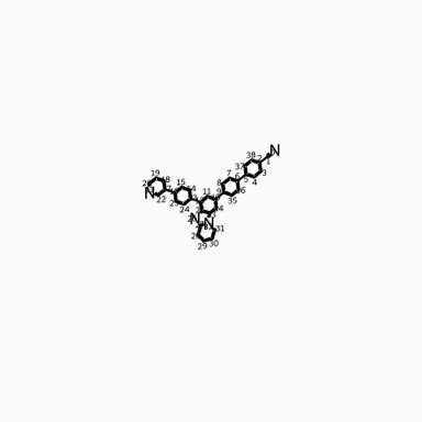 N#Cc1ccc(-c2ccc(-c3cc(-c4ccc(-c5cccnc5)cc4)c4nc5ccccn5c4c3)cc2)cc1